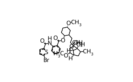 COC1C[C@](O)(CCC2C[C@@H](OC)CC[C@@H]2OC(=O)c2ccccc2NC(=O)c2ccc(Br)s2)[C@]2(O)C(C)C[C@H]1[C@@H]2OC